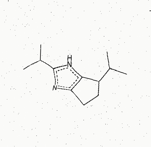 CC(C)c1nc2c([nH]1)C(C(C)C)CC2